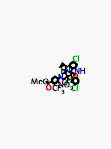 COC(=O)c1ccc(N2C[C@H]3[C@@H](C2=O)[C@H](c2cccc(Cl)c2F)[C@]2(C(=O)Nc4cc(Cl)ccc42)N3CC2CC2)c([N+](=O)[O-])c1C(F)(F)F